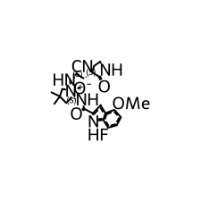 COc1ccc(F)c2[nH]c(C(=O)N[C@@H]3CC(C)(C)C[N+]3([O-])N[C@H](C#N)C[C@@H]3CCNC3=O)cc12